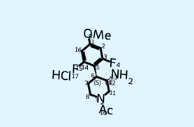 COc1cc(F)c([C@@H]2CCN(C(C)=O)C[C@H]2N)c(F)c1.Cl